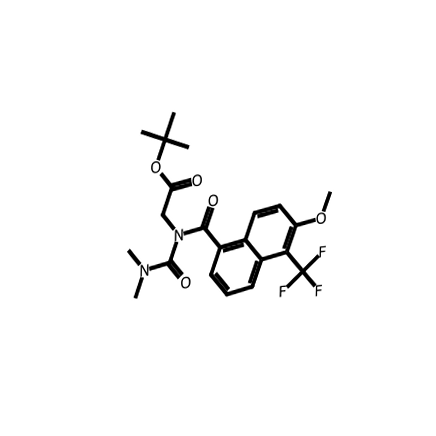 COc1ccc2c(C(=O)N(CC(=O)OC(C)(C)C)C(=O)N(C)C)cccc2c1C(F)(F)F